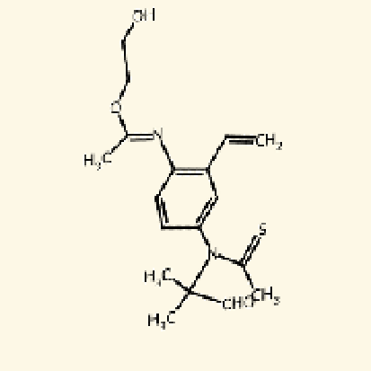 C=Cc1cc(N(C(C)=S)C(C)(C)C=O)ccc1/N=C(\C)OCCO